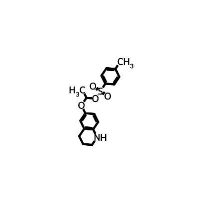 Cc1ccc(S(=O)(=O)OC(C)Oc2ccc3c(c2)CCCN3)cc1